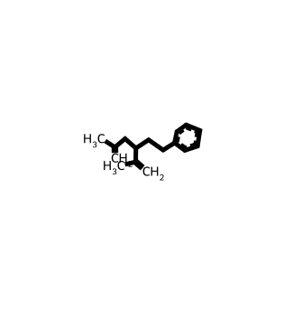 C=C(C)CC(CCc1ccccc1)C(=C)C